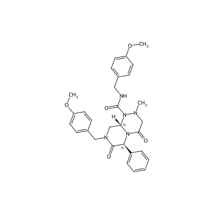 COc1ccc(CNC(=O)N2[C@H]3CN(Cc4ccc(OC)cc4)C(=O)[C@H](c4ccccc4)N3C(=O)CN2C)cc1